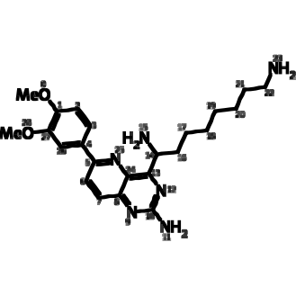 COc1ccc(-c2ccc3nc(N)nc(C(N)CCCCCCCN)c3n2)cc1OC